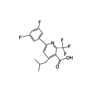 CC(C)Cc1cc(-c2cc(F)cc(F)c2)nc(C(F)(F)F)c1C(=O)O